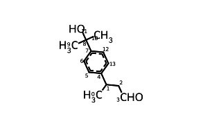 CC(CC=O)c1ccc(C(C)(C)O)cc1